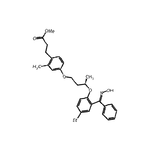 CCc1ccc(O[C@H](C)CCOc2ccc(CCC(=O)OC)c(C)c2)c(C(=NO)c2ccccc2)c1